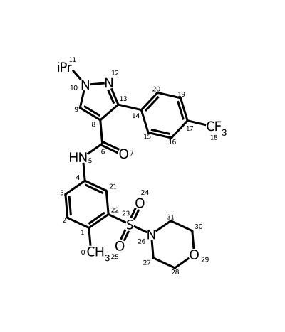 Cc1ccc(NC(=O)c2cn(C(C)C)nc2-c2ccc(C(F)(F)F)cc2)cc1S(=O)(=O)N1CCOCC1